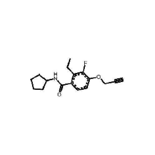 C#CCOc1ccc(C(=O)NC2CCCC2)c(CC)c1F